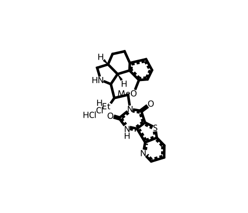 CCC(Cn1c(=O)[nH]c2c(sc3cccnc32)c1=O)C1NC[C@@H]2CCc3cccc(OC)c3[C@H]12.Cl.Cl